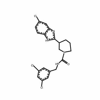 O=C(NCc1cc(Cl)cc(Cl)c1)N1CCCC(c2nc3cc(Cl)ccc3[nH]2)C1